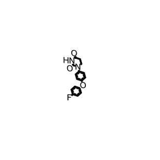 O=C1CCN(c2ccc(Oc3ccc(F)cc3)cc2)C(=O)N1